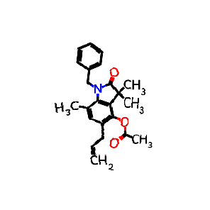 C=CCc1cc(C)c2c(c1OC(C)=O)C(C)(C)C(=O)N2Cc1ccccc1